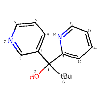 CC(C)(C)C(O)(c1cccnc1)c1ccccn1